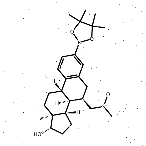 C[S+]([O-])C[C@@H]1Cc2cc(B3OC(C)(C)C(C)(C)O3)ccc2[C@H]2CC[C@]3(C)[C@@H](O)CC[C@H]3[C@H]12